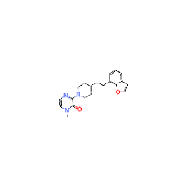 Cn1ccnc(N2CCC(CCc3cccc4ccoc34)CC2)c1=O